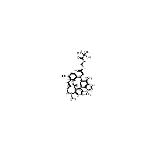 Cc1ccc(C(CC(=O)OCOC(=O)C(C)(C)C)c2ccc3c(nnn3C)c2C)cc1CN1CCN(C)c2ccccc2S1(=O)=O